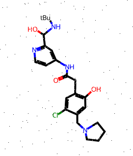 CC(C)(C)NC(O)c1cc(NC(=O)Cc2cc(Cl)c(CN3CCCC3)cc2O)ccn1